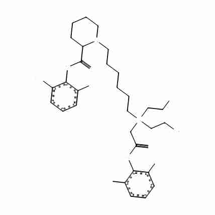 Cc1cccc(C)c1NC(=O)C[N+](CCO)(CCO)CCCCCCN1CCCCC1C(=O)Nc1c(C)cccc1C